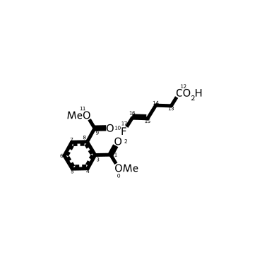 COC(=O)c1ccccc1C(=O)OC.O=C(O)CCC=CF